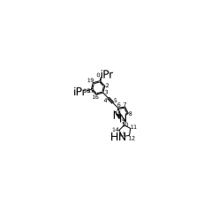 CC(C)c1cc(C#Cc2ccn([C@H]3CCNC3)n2)cc(C(C)C)c1